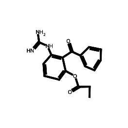 CCC(=O)Oc1cccc(NC(=N)N)c1C(=O)c1ccccc1